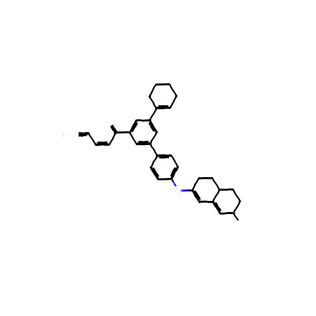 C=C/C=C\C(=C)c1cc(C2=CCCCC2)cc(-c2ccc(NC3=CC4=CC(C)CCC4CC3)cc2)c1